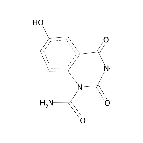 NC(=O)N1C(=O)[N]C(=O)c2cc(O)ccc21